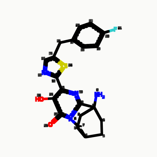 NC12CCC(CC1)Cn1c2nc(-c2ncc(Cc3ccc(F)cc3)s2)c(O)c1=O